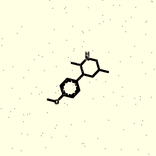 COc1ccc(C2CC(C)CNC2C)cc1